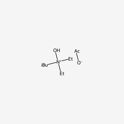 CC(=O)[O-].CCC(C)[N+](O)(CC)CC